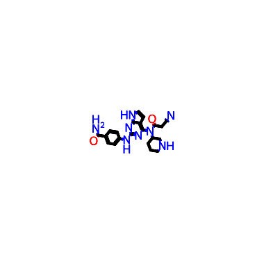 N#CCC(=O)N(c1nc(Nc2ccc(C(N)=O)cc2)nc2[nH]ccc12)C1CCCNC1